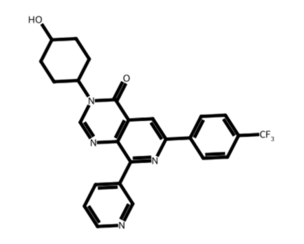 O=c1c2cc(-c3ccc(C(F)(F)F)cc3)nc(-c3cccnc3)c2ncn1C1CCC(O)CC1